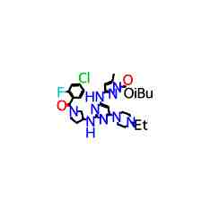 CCN1CCN(c2cc(Nc3cc(C)n(C(=O)OCC(C)C)n3)nc(NC3CCN(C(=O)c4ccc(Cl)cc4F)C3)n2)CC1